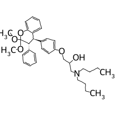 CCCCN(CCCC)CC(O)COc1ccc([C@@H]2c3ccccc3OC(OC)(OC)[C@H]2c2ccccc2)cc1